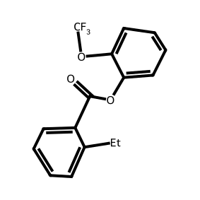 CCc1ccccc1C(=O)Oc1ccccc1OC(F)(F)F